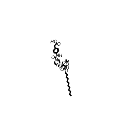 CCCCCCCCCCCCO[C@H]1O[C@H](CN2CCN(C(=O)Nc3ccc(CC(=O)O)cc3)CC2)[C@@H]2OC(C)(C)O[C@H]12